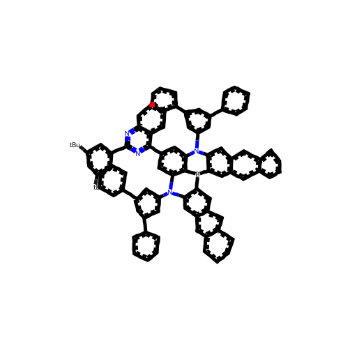 CC(C)(C)c1cc(-c2nc(-c3cc4c5c(c3)N(c3cc(-c6ccccc6)cc(-c6ccccc6)c3)c3cc6cc7ccccc7cc6cc3B5c3cc5cc6ccccc6cc5cc3N4c3cc(-c4ccccc4)cc(-c4ccccc4)c3)c3ccccc3n2)cc(C(C)(C)C)c1